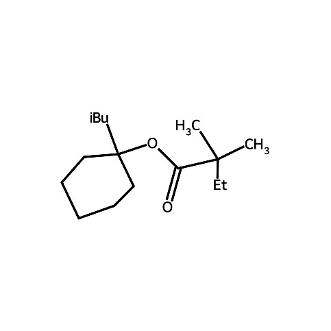 CCC(C)C1(OC(=O)C(C)(C)CC)CCCCC1